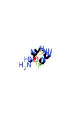 NCCNC(=O)c1cncc(-c2cnc(Nc3cc(N4CCC(F)(F)CC4)ccn3)s2)c1